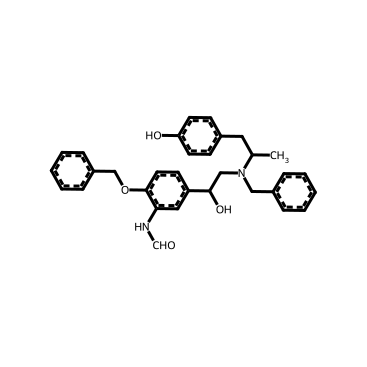 CC(Cc1ccc(O)cc1)N(Cc1ccccc1)CC(O)c1ccc(OCc2ccccc2)c(NC=O)c1